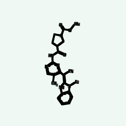 CCN1/C(=C(\C#N)c2nc(NC(=O)C3CCN(C(=O)OC(C)(C)C)C3)ncc2C)Nc2ccccc21